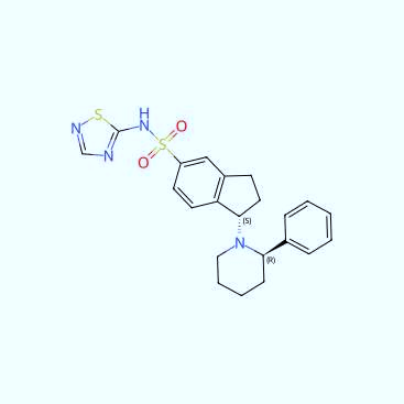 O=S(=O)(Nc1ncns1)c1ccc2c(c1)CC[C@@H]2N1CCCC[C@@H]1c1ccccc1